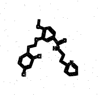 COc1ccc(C(=O)NCCc2ccccn2)cc1OCCc1ccc(Cl)cc1Cl